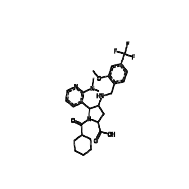 COc1cc(C(F)(F)F)ccc1CNC1CC(C(=O)O)N(C(=O)C2CCCCC2)C1c1cccnc1N(C)C